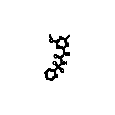 COc1nc(C)nc(NC(=O)NS(=O)(=O)c2ccccn2)n1